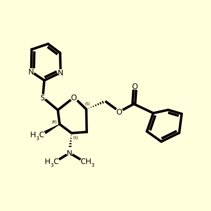 C[C@H]1C(Sc2ncccn2)O[C@H](COC(=O)c2ccccc2)C[C@@H]1N(C)C